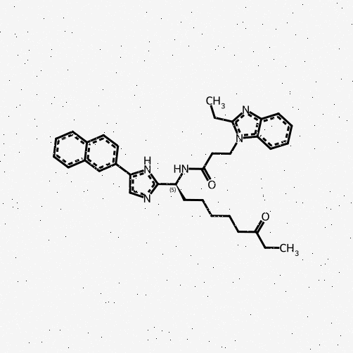 CCC(=O)CCCCC[C@H](NC(=O)CCn1c(CC)nc2ccccc21)c1ncc(-c2ccc3ccccc3c2)[nH]1